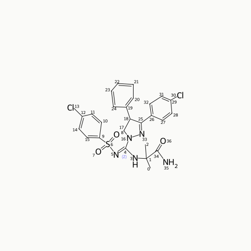 CC(C)(N/C(=N/S(=O)(=O)c1ccc(Cl)cc1)N1CC(c2ccccc2)C(c2ccc(Cl)cc2)=N1)C(N)=O